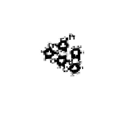 CC(C)c1cc(C(C)C)c(B2c3ccccc3Oc3cc4c(cc32)B2c3ccccc3Sc3cccc(c32)O4)c(C(C)C)c1